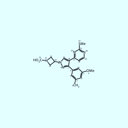 COc1cc(C)cc(-c2nn(C3CN(C(=O)O)C3)cc2-c2ccnc(SC)n2)c1